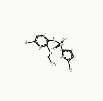 CCOc1nc(Br)cnc1NS(=O)(=O)c1ccc(Cl)s1